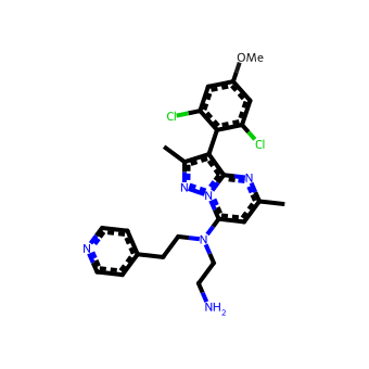 COc1cc(Cl)c(-c2c(C)nn3c(N(CCN)CCc4ccncc4)cc(C)nc23)c(Cl)c1